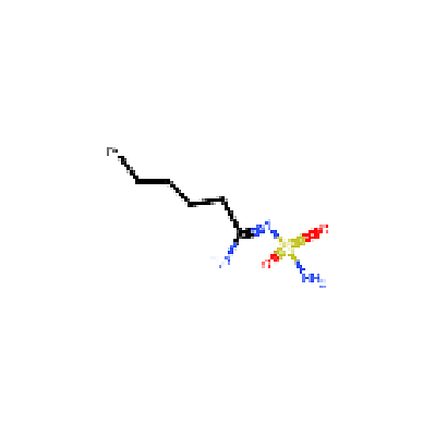 CC(C)CCCC/C(N)=N/S(N)(=O)=O